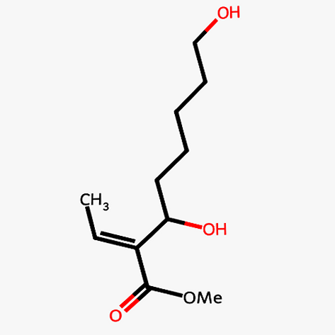 CC=C(C(=O)OC)C(O)CCCCCO